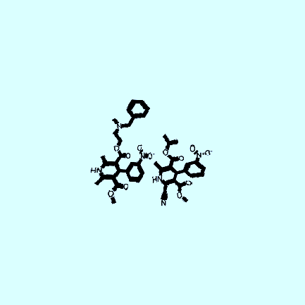 COC(=O)C1=C(C#N)NC(C)=C(C(=O)OC(C)C)C1c1cccc([N+](=O)[O-])c1.COC(=O)C1=C(C)NC(C)=C(C(=O)OCCN(C)Cc2ccccc2)C1c1cccc([N+](=O)[O-])c1